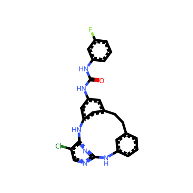 O=C(Nc1cccc(F)c1)Nc1cc2cc(c1)Nc1nc(ncc1Cl)Nc1cccc(c1)CC2